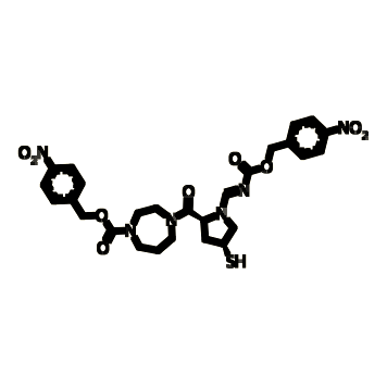 O=C(N=CN1C[C@@H](S)C[C@H]1C(=O)N1CCCN(C(=O)OCc2ccc([N+](=O)[O-])cc2)CC1)OCc1ccc([N+](=O)[O-])cc1